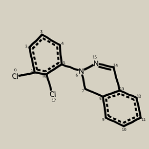 Clc1cccc(N2Cc3ccccc3C=N2)c1Cl